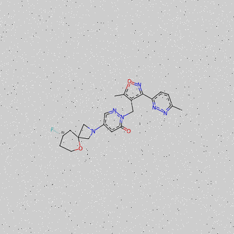 Cc1ccc(-c2noc(C)c2Cn2ncc(N3CC4(C[C@@H](F)CCO4)C3)cc2=O)nn1